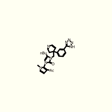 CCCCc1cn(-c2c(C(C)=O)ccn2C)c(=O)n1CC1(c2cccc(-c3nnn[nH]3)c2)C=CN=CC1